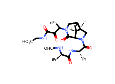 CCCC(C(=O)C(=O)NCC(=O)O)N1CC[C@H]2CN(C(=O)[C@@H](NC(=O)[C@H](NC=O)C(C)C)C(C)C)C(C1=O)[C@H]2C